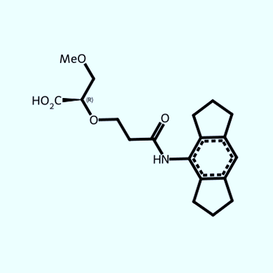 COC[C@@H](OCCC(=O)Nc1c2c(cc3c1CCC3)CCC2)C(=O)O